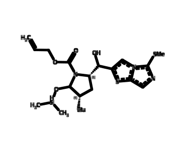 C=CCOC(=O)N1C(O[SiH](C)C)[C@@H](C(C)(C)C)C[C@H]1C(O)c1cn2c(SC)ncc2s1